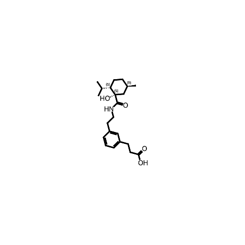 CC(C)[C@@H]1CC[C@@H](C)C[C@@]1(O)C(=O)NCCc1cccc(CCC(=O)O)c1